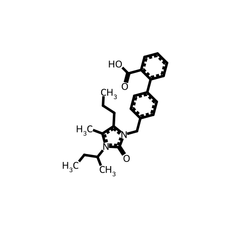 CCCc1c(C)n(C(C)CC)c(=O)n1Cc1ccc(-c2ccccc2C(=O)O)cc1